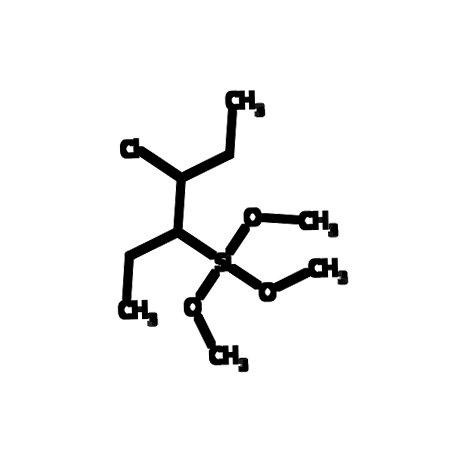 CCC(Cl)C(CC)[Si](OC)(OC)OC